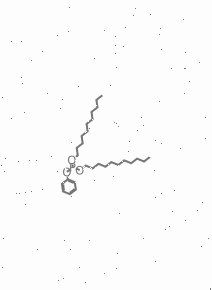 CCCCCCCCCCCOP(OCCCCCCCCCCC)Oc1ccccc1